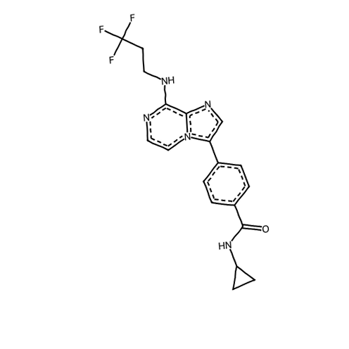 O=C(NC1CC1)c1ccc(-c2cnc3c(NCCC(F)(F)F)nccn23)cc1